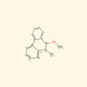 COC1c2ccccc2-c2ccccc2C1C